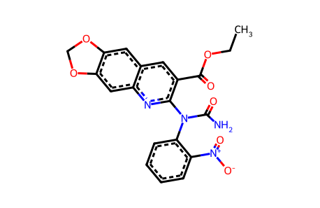 CCOC(=O)c1cc2cc3c(cc2nc1N(C(N)=O)c1ccccc1[N+](=O)[O-])OCO3